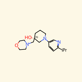 CC(C)c1ccc(N2CCC[C@](O)(CN3CCOCC3)C2)cn1